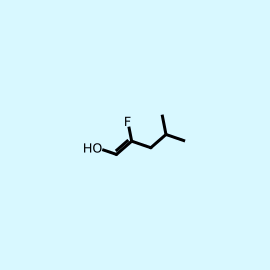 CC(C)CC(F)=CO